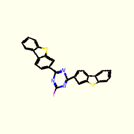 Ic1nc(-c2ccc3c(c2)sc2ccccc23)nc(-c2ccc3c(c2)sc2ccccc23)n1